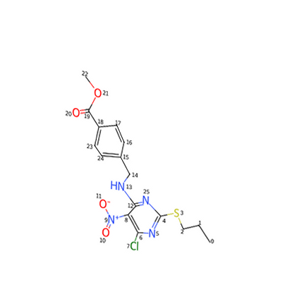 CCCSc1nc(Cl)c([N+](=O)[O-])c(NCc2ccc(C(=O)OC)cc2)n1